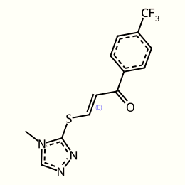 Cn1cnnc1S/C=C/C(=O)c1ccc(C(F)(F)F)cc1